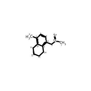 Cc1ccc(CS(C)=S)c2c1CCCC2